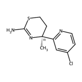 C[C@@]1(c2cc(Cl)ccn2)CCSC(N)=N1